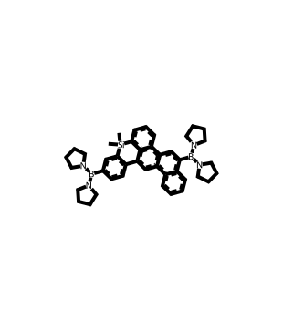 C[Si]1(C)c2cc(B(N3CCCC3)N3CCCC3)ccc2-c2cc3c4ccccc4c(B(N4CCCC4)N4CCCC4)cc3c3cccc1c23